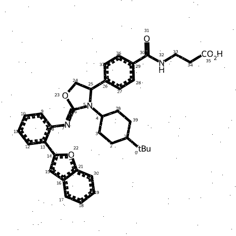 CC(C)(C)C1CCC(N2C(=Nc3ccccc3-c3cc4ccccc4o3)OCC2c2ccc(C(=O)NCCC(=O)O)cc2)CC1